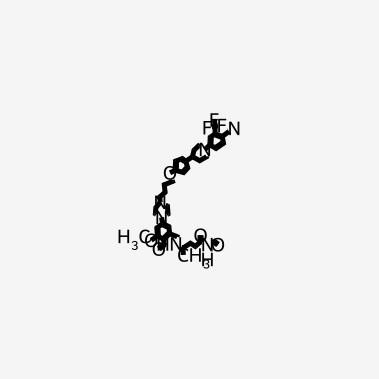 COc1cc(N2CCN(CCCCOc3ccc(C4CCN(c5ccc(C#N)c(C(F)(F)F)c5)CC4)cc3)CC2)cc(CNC(C)CCC(=O)NC=O)c1C=O